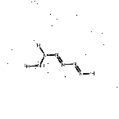 [2H]/N=N/N=N/N([2H])N[2H]